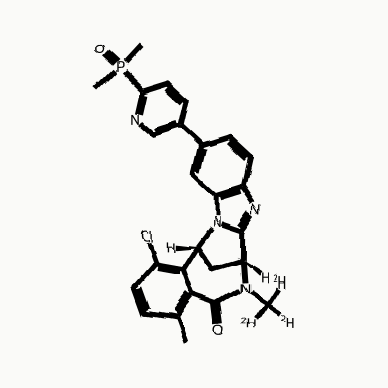 [2H]C([2H])([2H])N1C(=O)c2c(C)ccc(Cl)c2[C@H]2C[C@@H]1c1nc3ccc(-c4ccc(P(C)(C)=O)nc4)cc3n12